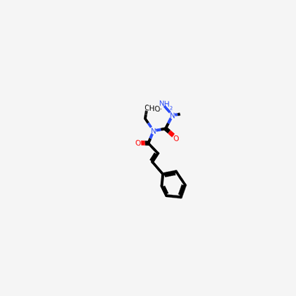 CN(N)C(=O)N(C[C]=O)C(=O)C=Cc1ccccc1